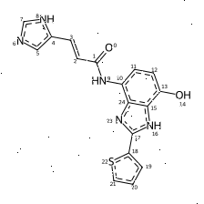 O=C(/C=C/c1cnc[nH]1)Nc1ccc(O)c2[nH]c(-c3cccs3)nc12